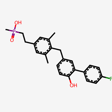 Cc1cc(CCP(C)(=O)O)cc(C)c1Cc1ccc(O)c(-c2ccc(F)cc2)c1